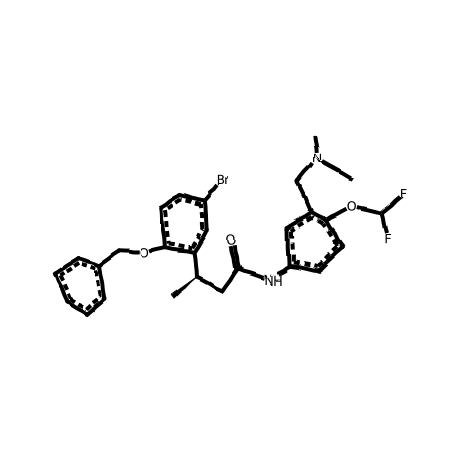 C[C@H](CC(=O)Nc1ccc(OC(F)F)c(CN(C)C)c1)c1cc(Br)ccc1OCc1ccccc1